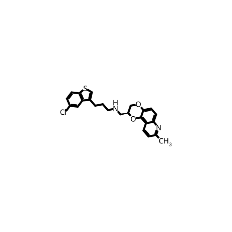 Cc1ccc2c3c(ccc2n1)OC[C@H](CNCCCc1csc2ccc(Cl)cc12)O3